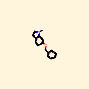 Cn1ccc2ccc(OCc3ccccc3)cc21